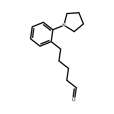 O=CCCCCc1ccccc1N1CCCC1